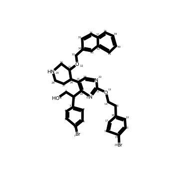 OCC(c1ccc(Br)cc1)c1nc(OCCc2ccc(Br)cc2)ncc1C1CCNCC1OCc1ccc2ccccc2c1